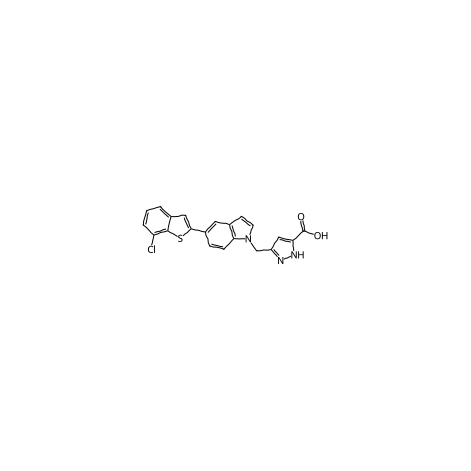 O=C(O)c1cc(Cn2ccc3cc(-c4cc5cccc(Cl)c5s4)ccc32)n[nH]1